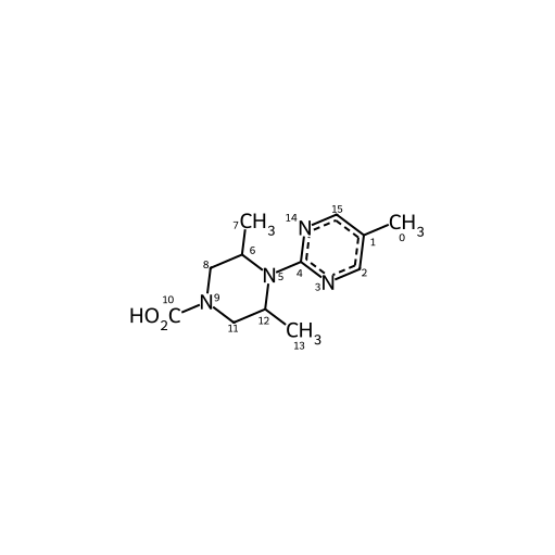 Cc1cnc(N2C(C)CN(C(=O)O)CC2C)nc1